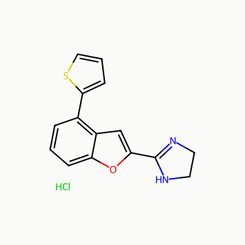 Cl.c1csc(-c2cccc3oc(C4=NCCN4)cc23)c1